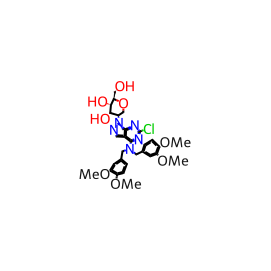 COc1ccc(CN(Cc2ccc(OC)c(OC)c2)c2nc(Cl)nc3c2cnn3[C@@H]2CO[C@H](CO)[C@@H](O)[C@H]2O)cc1OC